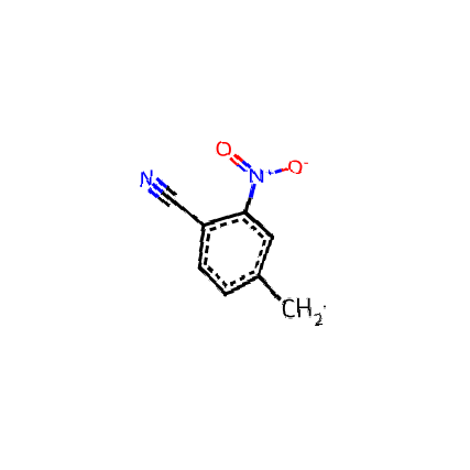 [CH2]c1ccc(C#N)c([N+](=O)[O-])c1